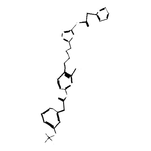 Cc1nc(NC(=O)Cc2cccc(OC(F)(F)F)c2)ccc1CCCCc1nnc(NC(=O)Cc2ccccn2)s1